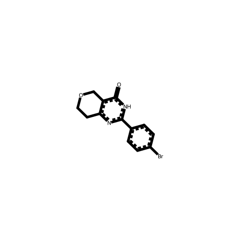 O=c1[nH]c(-c2ccc(Br)cc2)nc2c1COCC2